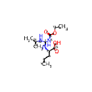 CCCC(N=C(NC(=O)OCC)NC(C)C)C(=O)O